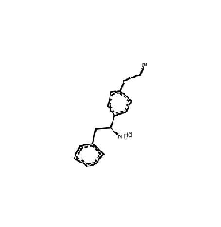 Cl.N[C@@H](Cc1ccccc1)c1ccc(CCBr)cc1